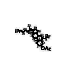 CC(=O)O[C@H]1CC[C@@]2(C)C(=C(CBr)CC3C2CC[C@@]2(C)C3CC[C@@H]2[C@H](C)CCCC(C)C)C1